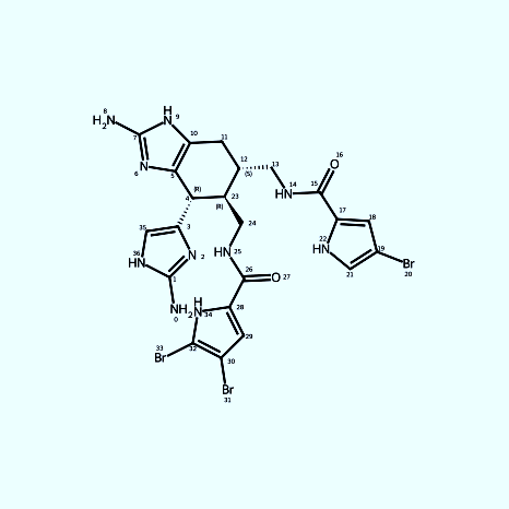 Nc1nc([C@@H]2c3nc(N)[nH]c3C[C@H](CNC(=O)c3cc(Br)c[nH]3)[C@H]2CNC(=O)c2cc(Br)c(Br)[nH]2)c[nH]1